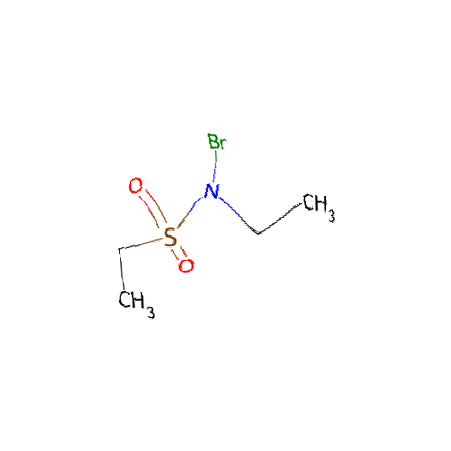 CCN(Br)S(=O)(=O)CC